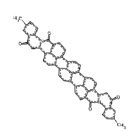 Cc1ccc2c(c1)c(=O)cc1c3ccc4c5ccc6c7ccc8c(=O)n9c%10ccc(C)cc%10c(=O)cc9c9ccc(c%10ccc(c%11ccc(c(=O)n21)c3c%114)c5c6%10)c7c89